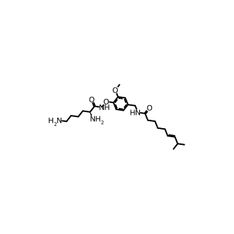 COc1cc(CNC(=O)CCCC/C=C/C(C)C)ccc1ONC(=O)[C@@H](N)CCCCN